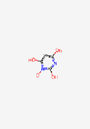 [O-][n+]1c(O)[c]c(O)nc1O